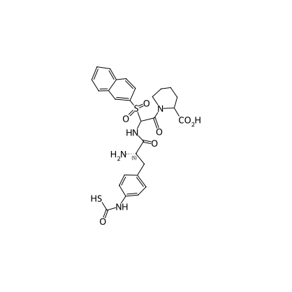 N[C@@H](Cc1ccc(NC(=O)S)cc1)C(=O)NC(C(=O)N1CCCCC1C(=O)O)S(=O)(=O)c1ccc2ccccc2c1